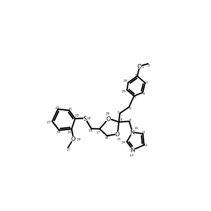 COc1ccc(CCC2(Cn3ccnc3)OCC(CSc3ccccc3OC)O2)cc1